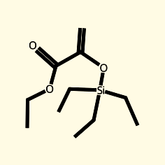 C=C(O[Si](CC)(CC)CC)C(=O)OCC